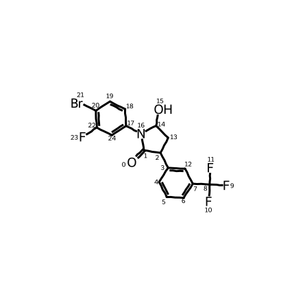 O=C1C(c2cccc(C(F)(F)F)c2)CC(O)N1c1ccc(Br)c(F)c1